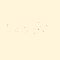 Cc1cc(S(=O)(=O)N(C)C)ccc1-c1ccc2[nH]c(-c3ccccc3)c(C)c2c1